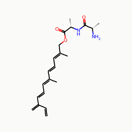 C=CC(=C)/C=C/C=C(C)/C=C/C=C(\C)COC(=O)[C@H](C)NC(=O)[C@H](C)N